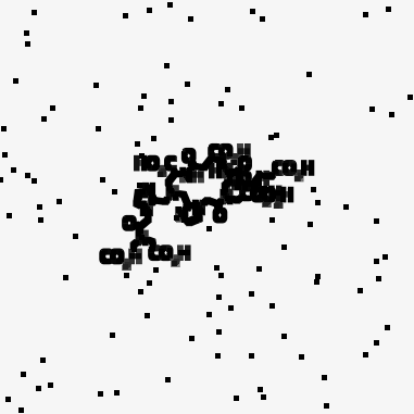 O=C(O)CC[C@H](NC(=O)N[C@@H](CCC(=O)NC(CN(Cc1nccn1CC(=O)N(CC(=O)O)CC(=O)O)Cc1nccn1CC(=O)N(CC(=O)O)CC(=O)O)C(=O)O)C(=O)O)C(=O)O